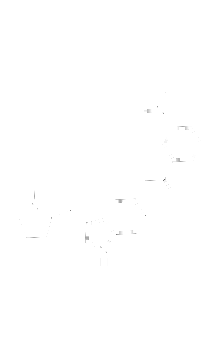 CN1CCCC1Cc1c[nH]c2ccc(CC(=O)c3cccc([N+](=O)[O-])c3)cc12